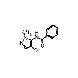 Cn1ncc(Br)c1NC(=O)c1ccccc1